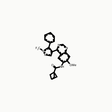 COc1cc2ncnc(-c3cnn(C(F)(F)F)c3-c3ccccc3)c2cc1NC(=O)C12CC(C1)C2